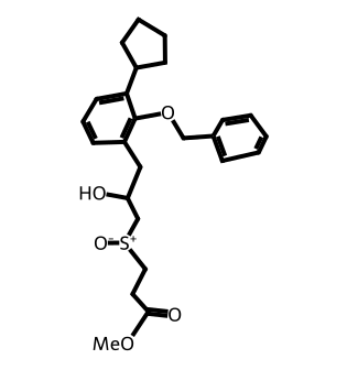 COC(=O)CC[S+]([O-])CC(O)Cc1cccc(C2CCCC2)c1OCc1ccccc1